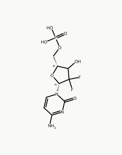 Nc1ccn([C@@H]2O[C@H](COP(=O)(O)O)C(O)C2(F)F)c(=O)n1